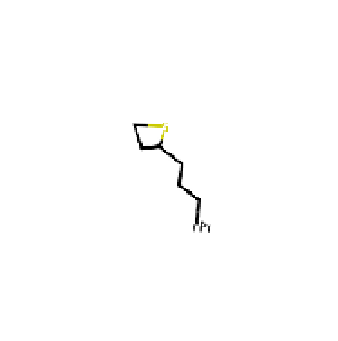 CCCCCCC1CCS1